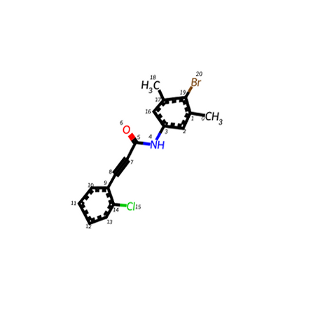 Cc1cc(NC(=O)C#Cc2ccccc2Cl)cc(C)c1Br